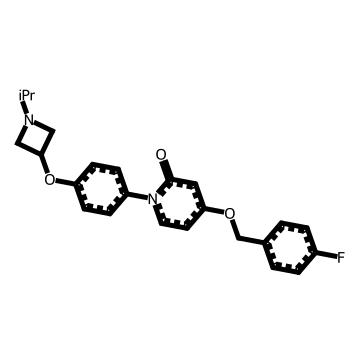 CC(C)N1CC(Oc2ccc(-n3ccc(OCc4ccc(F)cc4)cc3=O)cc2)C1